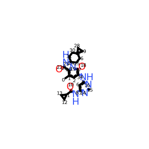 Cc1cc(Nc2cc(NC(=O)C3CC3)ncn2)c(=O)n2c1C(=O)NC21CCC2(CC2)CC1